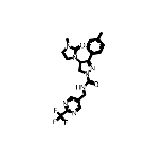 Cc1ccc(C2=NN(C(=O)NCc3cnc(C(F)(F)F)nc3)CC2N2CCN(C)C2=O)cc1